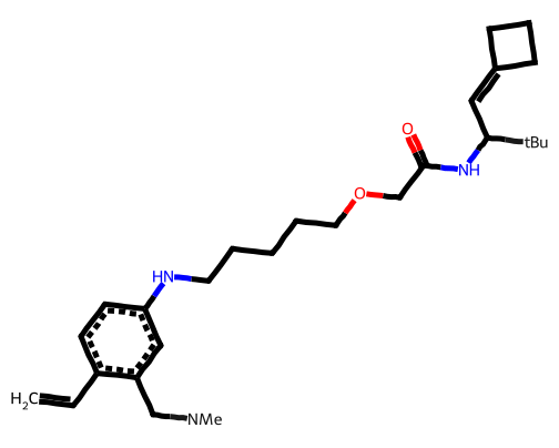 C=Cc1ccc(NCCCCCOCC(=O)NC(C=C2CCC2)C(C)(C)C)cc1CNC